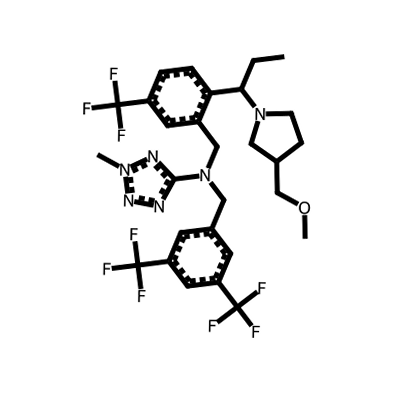 CCC(c1ccc(C(F)(F)F)cc1CN(Cc1cc(C(F)(F)F)cc(C(F)(F)F)c1)c1nnn(C)n1)N1CCC(COC)C1